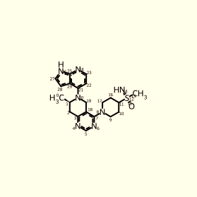 C[C@@H]1Cc2ncnc(N3CCC(S(C)(=N)=O)CC3)c2CN1c1ccnc2[nH]ccc12